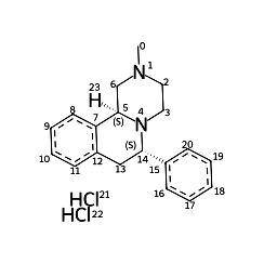 CN1CCN2[C@H](C1)c1ccccc1C[C@H]2c1ccccc1.Cl.Cl